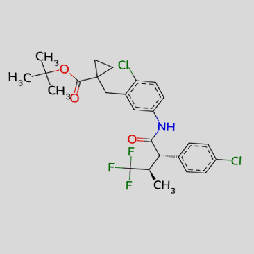 C[C@H]([C@H](C(=O)Nc1ccc(Cl)c(CC2(C(=O)OC(C)(C)C)CC2)c1)c1ccc(Cl)cc1)C(F)(F)F